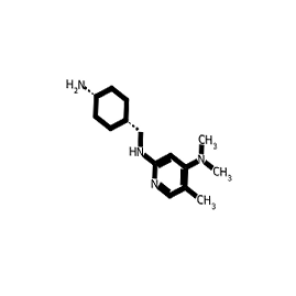 Cc1cnc(NC[C@H]2CC[C@@H](N)CC2)cc1N(C)C